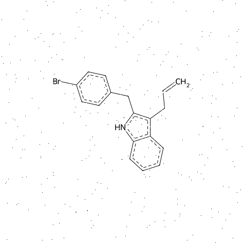 C=CCc1c(Cc2ccc(Br)cc2)[nH]c2ccccc12